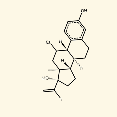 C=C(I)[C@]1(O)CC[C@H]2[C@@H]3CCc4cc(O)ccc4[C@H]3C(CC)C[C@@]21C